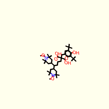 CON1C(C)(C)CC(C(CCCC(Cc2cc(C(C)(C)C)c(O)c(C(C)(C)C)c2)(C(=O)O)C(=O)O)C2CC(C)(C)N(OC)C(C)(C)C2)CC1(C)C